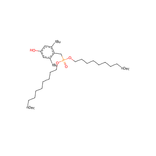 CCCCCCCCCCCCCCCCCCOP(=O)(Cc1c(C(C)(C)C)cc(O)cc1C(C)(C)C)OCCCCCCCCCCCCCCCCCC